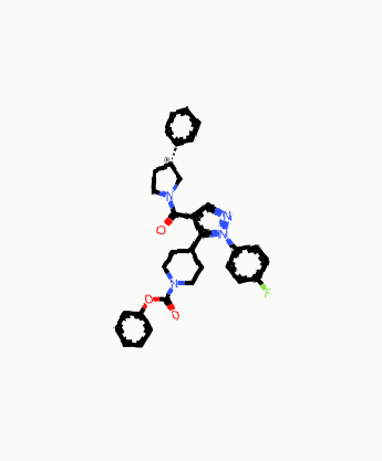 O=C(Oc1ccccc1)N1CCC(c2c(C(=O)N3CC[C@H](c4ccccc4)C3)cnn2-c2ccc(F)cc2)CC1